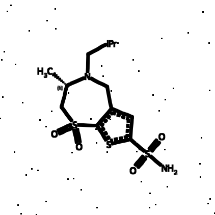 CC(C)CN1Cc2cc(S(N)(=O)=O)sc2S(=O)(=O)C[C@@H]1C